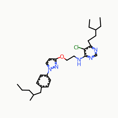 CCCC(C)Cc1ccc(-n2ccc(OCCNc3ncnc(CCC(CC)CC)c3Cl)n2)cc1